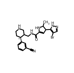 CC1NC(C(=O)NCC2CNCC[C@@H]2c2cccc(C#N)c2)=CC1c1[nH]ncc1Br